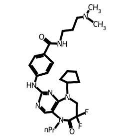 CCCN1C(=O)C(F)(F)CN(C2CCCC2)c2nc(Nc3ccc(C(=O)NCCCN(C)C)cc3)ncc21